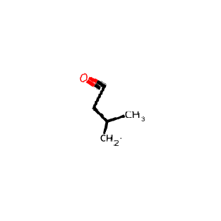 [CH2]C(C)CC=O